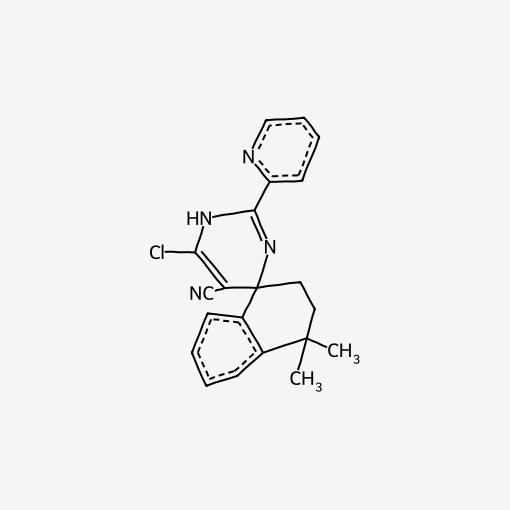 CC1(C)CCC2(N=C(c3ccccn3)NC(Cl)=C2C#N)c2ccccc21